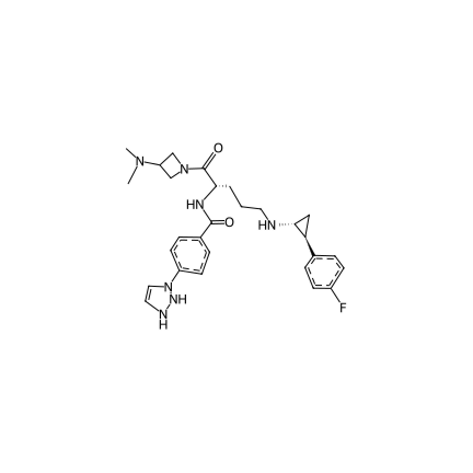 CN(C)C1CN(C(=O)[C@H](CCCN[C@@H]2C[C@H]2c2ccc(F)cc2)NC(=O)c2ccc(N3C=CNN3)cc2)C1